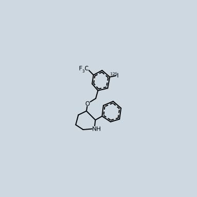 FC(F)(F)c1cc([125I])cc(COC2CCCNC2c2ccccc2)c1